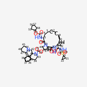 O=C(N[C@H]1CCCCC/C=C\[C@@H]2C[C@@]2(C(=O)NS(=O)(=O)C2CC2)NC(=O)[C@@H]2C[C@@H](OC(=O)N3CCc4ccccc4C3CN3CCCCC3)CN2C1=O)OC1CCCC1